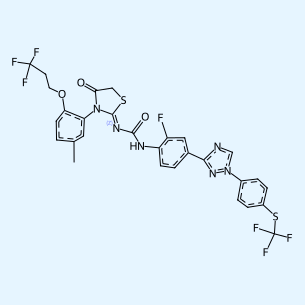 Cc1ccc(OCCC(F)(F)F)c(N2C(=O)CS/C2=N\C(=O)Nc2ccc(-c3ncn(-c4ccc(SC(F)(F)F)cc4)n3)cc2F)c1